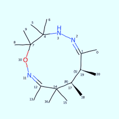 CC1=NNC(C)(C)C(C)(C)ON=C(C)C(C)(C)[C@H](C)[C@@H]1C